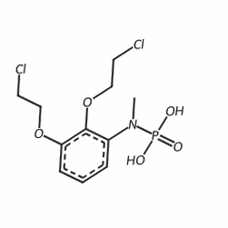 CN(c1cccc(OCCCl)c1OCCCl)P(=O)(O)O